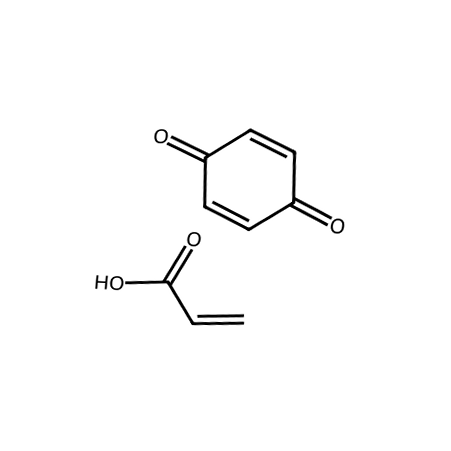 C=CC(=O)O.O=C1C=CC(=O)C=C1